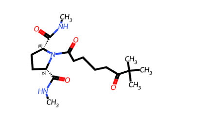 CNC(=O)[C@H]1CC[C@@H](C(=O)NC)N1C(=O)CCCCC(=O)C(C)(C)C